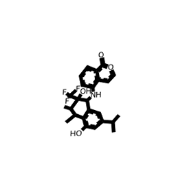 CC(C)c1cc(O)c2c(c1)C(Nc1cccc3c(=O)occc13)C(O)(C(F)(F)F)C(C)C2C